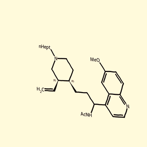 C=C[C@H]1CN(CCCCCCC)CC[C@H]1CCC(NC(C)=O)c1ccnc2ccc(OC)cc12